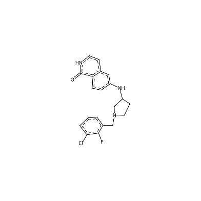 O=c1[nH]ccc2cc(NC3CCN(Cc4cccc(Cl)c4F)C3)ccc12